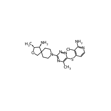 Cc1nc(N2CCC3(CC2)CO[C@@H](C)[C@H]3N)nnc1Sc1ccnc(N)c1Cl